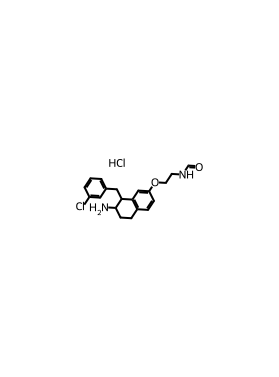 Cl.NC1CCc2ccc(OCCNC=O)cc2C1Cc1cccc(Cl)c1